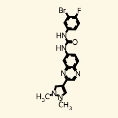 CN1C=C(c2cnc3ccc(NC(=O)Nc4ccc(F)c(Br)c4)cc3n2)CN1C